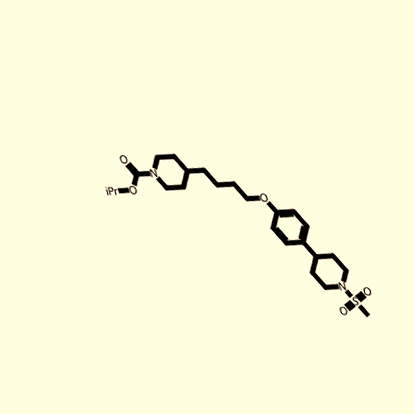 CC(C)OC(=O)N1CCC(CCCCOc2ccc(C3CCN(S(C)(=O)=O)CC3)cc2)CC1